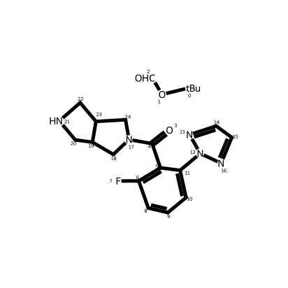 CC(C)(C)OC=O.O=C(c1c(F)cccc1-n1nccn1)N1CC2CNCC2C1